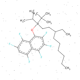 CCCCCCC(CC)CC[Si](Oc1c(F)c(F)c(F)c2c(F)[c]c(F)c(F)c12)(C(C)C)C(C)(C)C